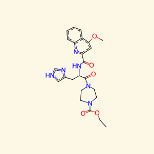 CCOC(=O)N1CCN(C(=O)C(Cc2c[nH]cn2)NC(=O)c2cc(OC)c3ccccc3n2)CC1